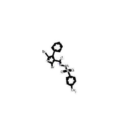 Cc1ccc(S(=O)(=O)N/N=C(\Cl)c2c(Br)sc(Br)c2-c2ccccc2)cc1